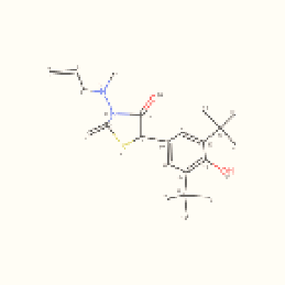 C=CCN(C)N1C(=C)SC(c2cc(C(C)(C)C)c(O)c(C(C)(C)C)c2)C1=O